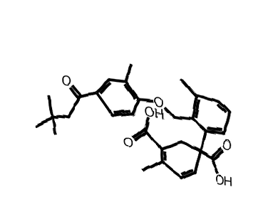 CC1=C(C(=O)O)CC(C(=O)O)(c2cccc(C)c2COc2ccc(C(=O)CC(C)(C)C)cc2C)C=C1